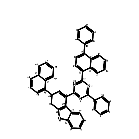 C1=C(c2nc(-c3ccccc3)nc(-c3ccc(-c4ccccc4)c4ccccc34)n2)c2c(oc3ccccc23)CC1c1cccc2ccccc12